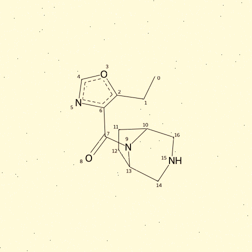 CCc1ocnc1C(=O)N1C2CCC1CNC2